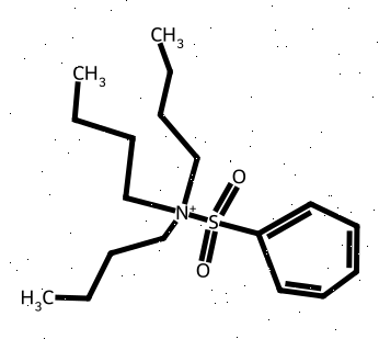 CCCC[N+](CCCC)(CCCC)S(=O)(=O)c1ccccc1